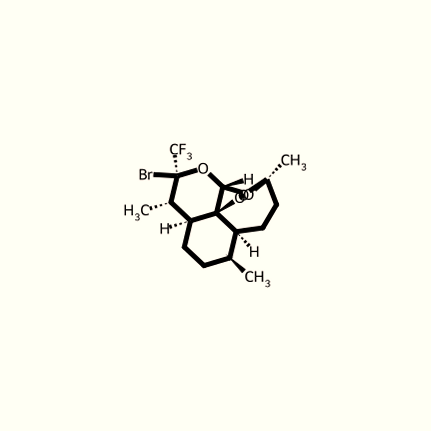 C[C@H]1CC[C@H]2[C@H](C)[C@](Br)(C(F)(F)F)O[C@@H]3O[C@]4(C)CC[C@@H]1[C@@]32OO4